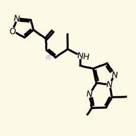 C=C(/C=C\C(C)NCc1cnn2c(C)cc(C)nc12)c1cnoc1